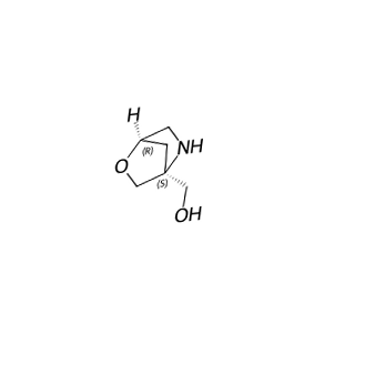 OC[C@@]12CO[C@@H](CN1)C2